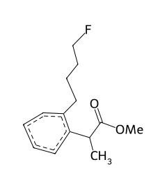 COC(=O)C(C)c1ccccc1CCCCF